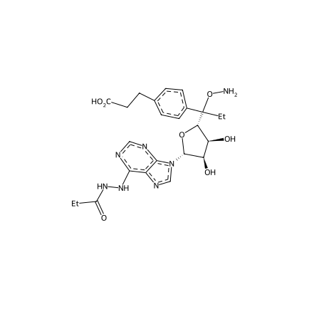 CCC(=O)NNc1ncnc2c1ncn2[C@@H]1O[C@H](C(CC)(ON)c2ccc(CCC(=O)O)cc2)[C@@H](O)[C@H]1O